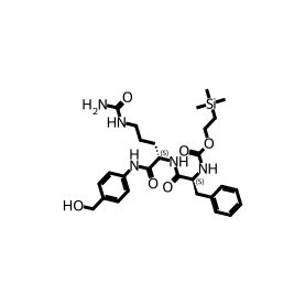 C[Si](C)(C)CCOC(=O)N[C@@H](Cc1ccccc1)C(=O)N[C@@H](CCCNC(N)=O)C(=O)Nc1ccc(CO)cc1